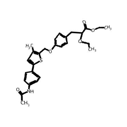 CCOC(=O)C(Cc1ccc(OCc2sc(-c3ccc(NC(C)=O)cc3)cc2C)cc1)OCC